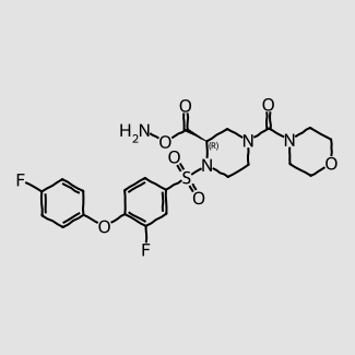 NOC(=O)[C@H]1CN(C(=O)N2CCOCC2)CCN1S(=O)(=O)c1ccc(Oc2ccc(F)cc2)c(F)c1